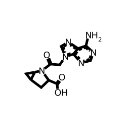 Nc1ncnc2c1ncn2CC(=O)N1C(C(=O)O)CC2CC21